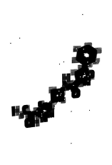 C[C@@H](O)c1nnc([C@H]2C[C@H](NC(=O)c3cc(-c4ccccc4)on3)C2)s1